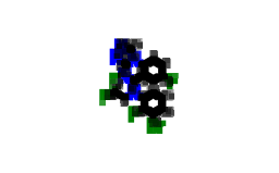 Fc1ccc2c(c1)c(N(CC(F)F)c1cccc(Br)c1F)nc1nncn12